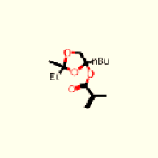 C=C(C)C(=O)OC1(CCCC)COC(C)(CC)O1